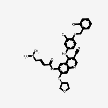 CN(C)CC=CC(=O)Nc1cc2c(Nc3ccc(OCc4ccccc4Cl)c(Cl)c3)c(C#N)cnc2cc1O[C@H]1CCOC1